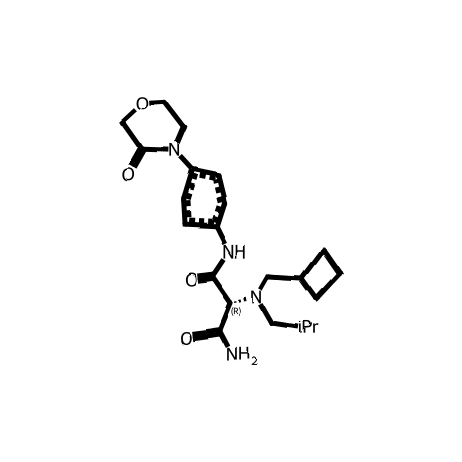 CC(C)CN(CC1CCC1)[C@H](C(N)=O)C(=O)Nc1ccc(N2CCOCC2=O)cc1